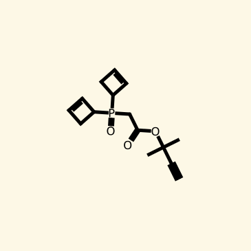 C#CC(C)(C)OC(=O)CP(=O)(C1C=CC1)C1C=CC1